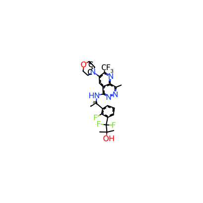 Cc1nnc(N[C@H](C)c2cccc(C(F)(F)C(C)(C)O)c2F)c2cc(N3CC4CCCC3CO4)c(C(F)(F)F)nc12